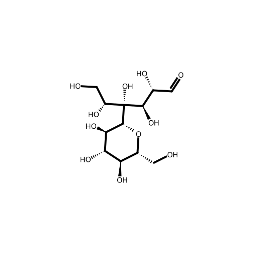 O=C[C@@H](O)[C@@H](O)[C@](O)([C@H](O)CO)[C@@H]1O[C@H](CO)[C@@H](O)[C@H](O)[C@H]1O